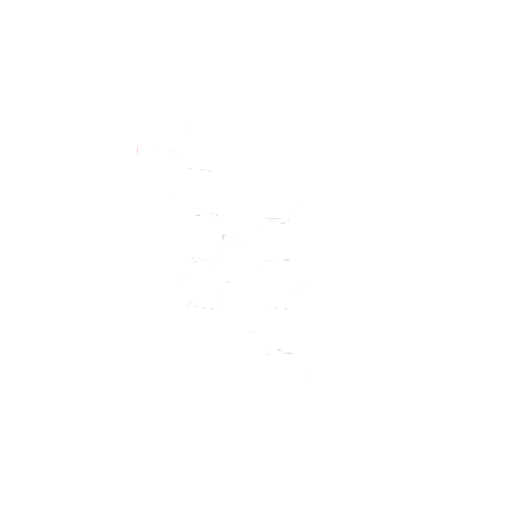 COc1ccc2c(-c3ccccc3C(=O)N3CCC(C(=O)O)CC3)c3ccc(=O)cc-3oc2c1